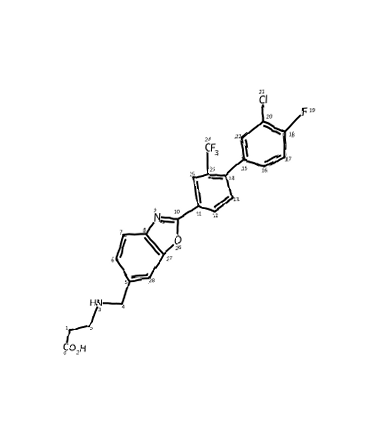 O=C(O)CCNCc1ccc2nc(-c3ccc(-c4ccc(F)c(Cl)c4)c(C(F)(F)F)c3)oc2c1